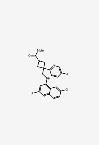 CNC(=O)N1CC(CNc2cc(C(F)(F)F)nc3ccc(Cl)cc23)(c2ccc(F)cn2)C1